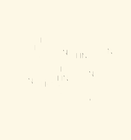 C[C@@H]1C[C@H](NC(=O)O)CN(c2ccncc2NCc2ccc(F)c(-c3c(F)cc4ncccc4c3F)n2)C1